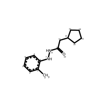 Cc1ccccc1NNC(=O)CC1CCCC1